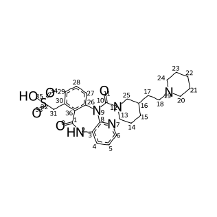 O=C1Nc2cccnc2N(C(=O)N2CCCC(CCN3CCCCC3)C2)c2cccc(CS(=O)(=O)O)c21